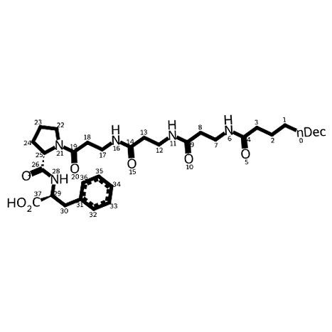 CCCCCCCCCCCCCC(=O)NCCC(=O)NCCC(=O)NCCC(=O)N1CCC[C@H]1C(=O)N[C@@H](Cc1ccccc1)C(=O)O